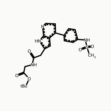 CC(C)(C)OC(=O)CNC(=O)Cc1cc2c(-c3ccc(NS(C)(=O)=O)cc3)ccnc2[nH]1